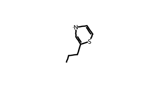 CCCC1=C[N]C=CS1